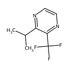 CC(C)c1nccnc1C(F)(F)F